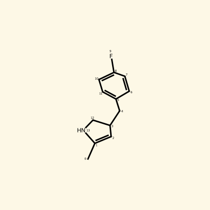 CC1=CC(Cc2ccc(F)cc2)CN1